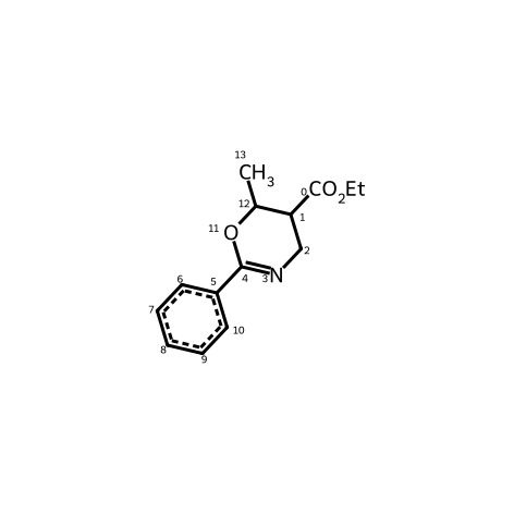 CCOC(=O)C1CN=C(c2ccccc2)OC1C